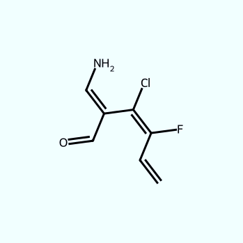 C=C/C(F)=C(Cl)\C(C=O)=C/N